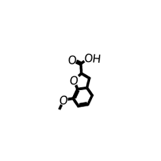 COC1=C2OC(C(=O)O)CC2CC=C1